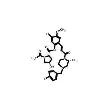 COc1cc(/C=C/C(=O)N2CCN(Cc3ccc(F)cc3)C[C@H]2C)c(NC(=O)[C@@H]2C[C@@H](O)CN2C(C)=O)cc1Cl